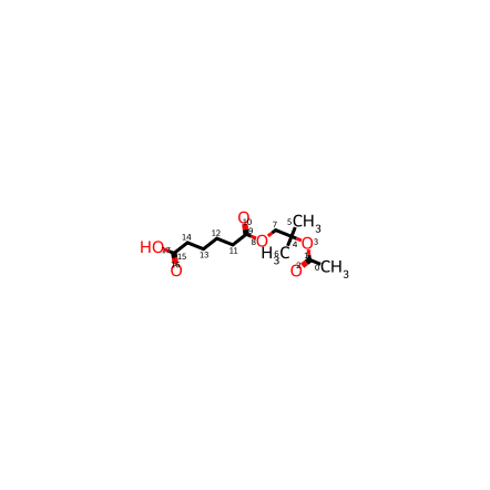 CC(=O)OC(C)(C)COC(=O)CCCCC(=O)O